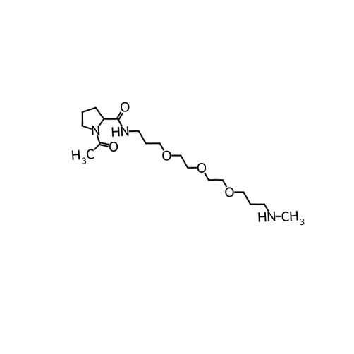 CNCCCOCCOCCOCCCNC(=O)C1CCCN1C(C)=O